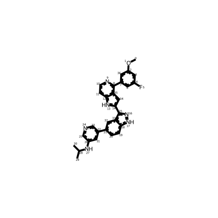 COc1cc(F)cc(-c2nccc3[nH]c(-c4n[nH]c5ccc(-c6cncc(NC(C)C)c6)cc45)cc23)c1